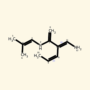 C=C(NC=C(C)C)C(/C=C\C)=C/N